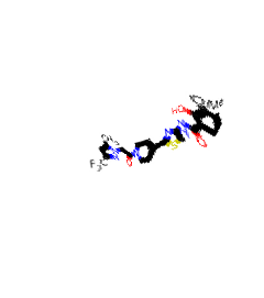 COc1cccc(C(=O)Nc2csc(C3CCN(C(=O)Cn4nc(C(F)(F)F)cc4C)CC3)n2)c1O